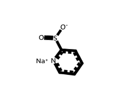 O=S([O-])c1ccccn1.[Na+]